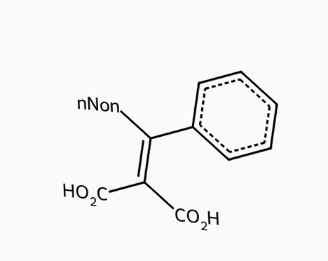 CCCCCCCCCC(=C(C(=O)O)C(=O)O)c1ccccc1